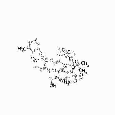 Cc1cccc(Cl)c1CN1CCc2cc(-c3c(CO)nc(C)c(C(OC(C)(C)C)C(=O)O)c3N3CCC(C)(C)CC3)ccc2C1